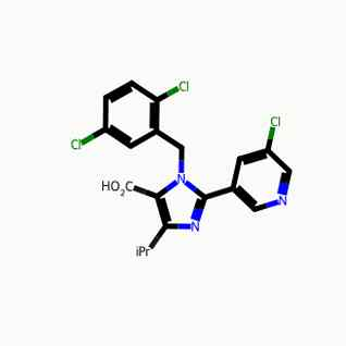 CC(C)c1nc(-c2cncc(Cl)c2)n(Cc2cc(Cl)ccc2Cl)c1C(=O)O